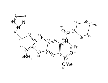 Bc1cc(Cn2nccn2)cnc1Oc1cc(C(=O)OC)c(N(C(=O)C2CCC(C)CC2)C(C)C)cc1F